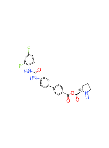 O=C(Nc1ccc(-c2ccc(C(=O)OC(=O)[C@H]3CCCN3)cc2)cc1)Nc1ccc(F)cc1F